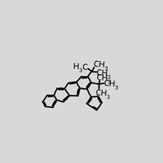 CC(C)(C)c1cc2cc3cc4ccccc4cc3cc2c(-c2ccccc2)c1C(C)(C)C